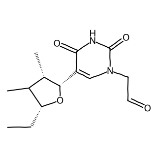 CC[C@H]1O[C@@H](c2cn(CC=O)c(=O)[nH]c2=O)[C@@H](C)C1C